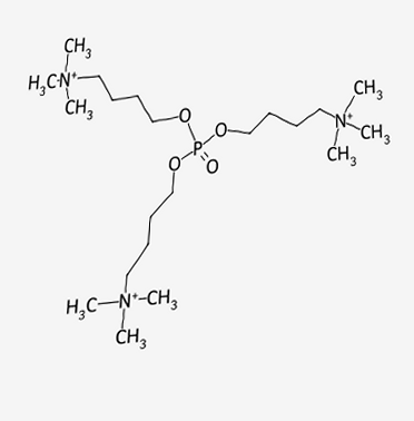 C[N+](C)(C)CCCCOP(=O)(OCCCC[N+](C)(C)C)OCCCC[N+](C)(C)C